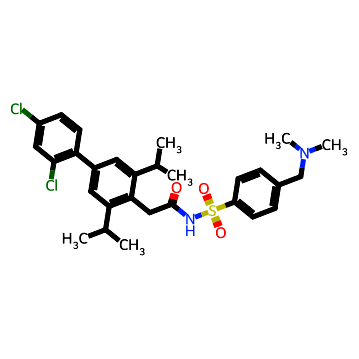 CC(C)c1cc(-c2ccc(Cl)cc2Cl)cc(C(C)C)c1CC(=O)NS(=O)(=O)c1ccc(CN(C)C)cc1